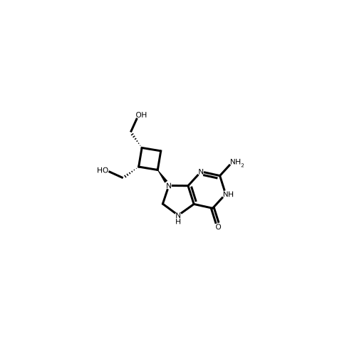 Nc1nc2c(c(=O)[nH]1)NCN2[C@@H]1C[C@@H](CO)[C@H]1CO